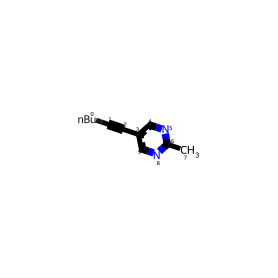 CCCCC#Cc1cnc(C)nc1